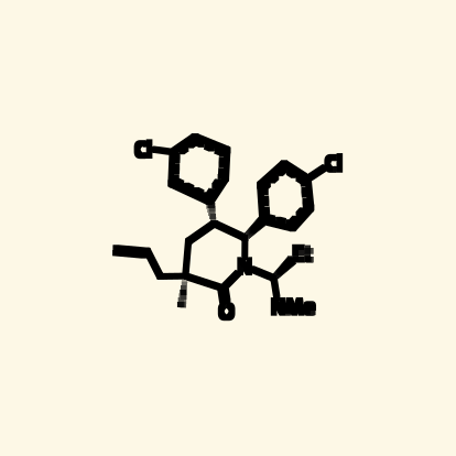 C=CC[C@@]1(C)C[C@H](c2cccc(Cl)c2)[C@@H](c2ccc(Cl)cc2)N([C@@H](CC)NC)C1=O